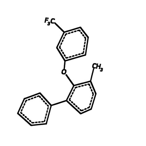 Cc1cccc(-c2ccccc2)c1Oc1cccc(C(F)(F)F)c1